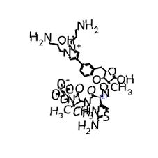 CC(O/N=C(\C(=O)NC1C(=O)N(OS(=O)(=O)[O-])C1(C)C)c1csc(N)n1)(C(=O)O)C1CCc2cc(-c3cn(CC(O)CN)[n+](CCCN)c3)ccc2O1